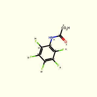 O=C(O)C(=O)Nc1c(F)c(F)c(F)c(F)c1F